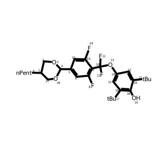 CCCCCC1COC(c2cc(F)c(C(F)(F)Oc3cc(C(C)(C)C)c(O)c(C(C)(C)C)c3)c(F)c2)OC1